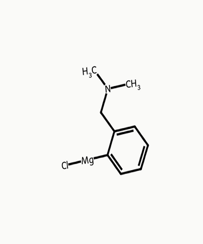 CN(C)Cc1cccc[c]1[Mg][Cl]